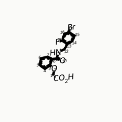 O=C(O)COc1ccccc1C(=O)NCc1ccc(Br)cc1F